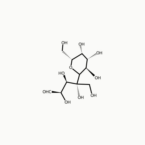 O=C[C@H](O)[C@@H](O)[C@](O)(CO)C1O[C@H](CO)[C@H](O)[C@H](O)[C@H]1O